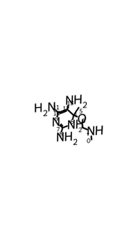 CNCOC1(C)NC(N)=NC(N)=C1N